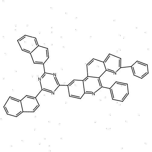 c1ccc(-c2ccc3ccc4c5cc(-c6nc(-c7ccc8ccccc8c7)nc(-c7ccc8ccccc8c7)n6)ccc5nc(-c5ccccc5)c4c3n2)cc1